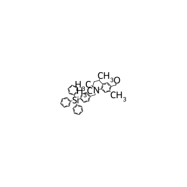 Cc1cc2c(cc1C=O)C(C)CC(C)(C)N2Cc1ccc([Si](c2ccccc2)(c2ccccc2)c2ccccc2)cc1